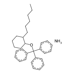 CCCCCCC1CCCCC1OC(c1ccccc1)(c1ccccc1)c1ccccc1.N